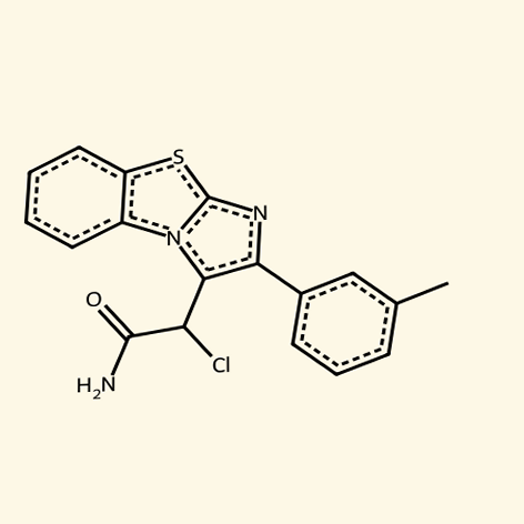 Cc1cccc(-c2nc3sc4ccccc4n3c2C(Cl)C(N)=O)c1